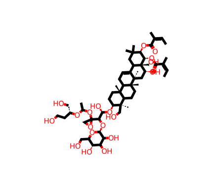 C/C=C(/C)C(=O)O[C@H]1[C@H](OC(=O)/C(C)=C\C)[C@@]2(CO)C(CC1(C)C)C1=CCC3[C@@]4(C)CC[C@H](O[C@H](O)C(O[C@@H]5OC(CO)[C@@H](O)C(O)C5O)C5(OC(C)O[C@@H](CO)CCO)CO5)[C@](C)(CO)C4CC[C@@]3(C)[C@]1(C)C[C@H]2O